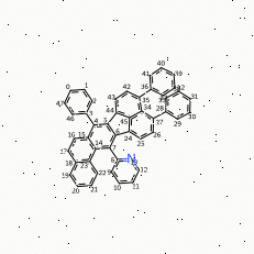 c1ccc(-c2c3c(c(-c4ccccn4)c4c2ccc2ccccc24)-c2ccc(-c4ccccc4)c4c(-c5ccccc5)ccc-3c24)cc1